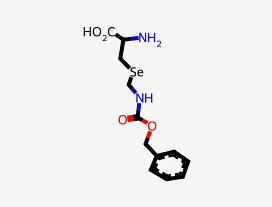 NC(C[Se]CNC(=O)OCc1ccccc1)C(=O)O